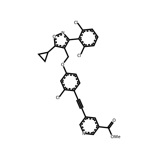 COC(=O)c1cncc(C#Cc2ccc(OCc3c(-c4c(Cl)cccc4Cl)noc3C3CC3)cc2Cl)c1